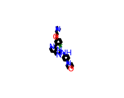 CN(C)CCOc1ccc(F)c(-c2nccc3cnc(Nc4ccc(N5CCOCC5)cc4)nc23)c1